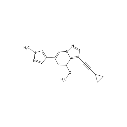 COc1cc(-c2cnn(C)c2)cn2ncc(C#CC3CC3)c12